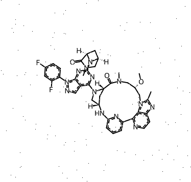 CO[C@H]1CN(C)C(=O)[C@@H]2C[C@@H](CN2c2nc(N3[C@H]4C[C@@H]3C(=O)N(C)C4)nc3c2cnn3-c2ccc(F)cc2F)Nc2cccc(n2)-c2nccc3nc(C)n(c23)C1